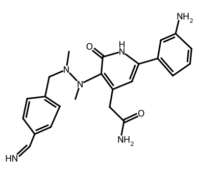 CN(Cc1ccc(C=N)cc1)N(C)c1c(CC(N)=O)cc(-c2cccc(N)c2)[nH]c1=O